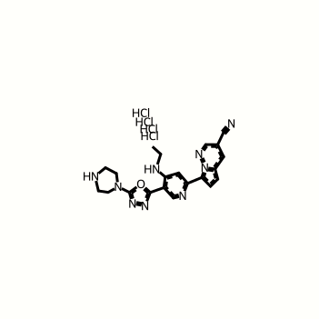 CCNc1cc(-c2ccc3cc(C#N)cnn23)ncc1-c1nnc(N2CCNCC2)o1.Cl.Cl.Cl.Cl